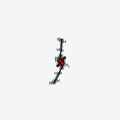 CN1C(=O)[C@@]23C[C@]4([C@]56C[C@]7(S)C(=O)N[C@](S)(COC(=O)OCCCCC(=O)NCCOCCOCCNC(=O)OC(C)(C)C)C(=O)N7[C@H]5N(S(=O)(=O)c5ccccc5)c5ccccc56)c5ccccc5N(S(=O)(=O)c5ccccc5)[C@@H]4N2C(=O)[C@]1(COC(=O)OCCCCC(=O)NCCOCCOCCNC(=O)OC(C)(C)C)SS3